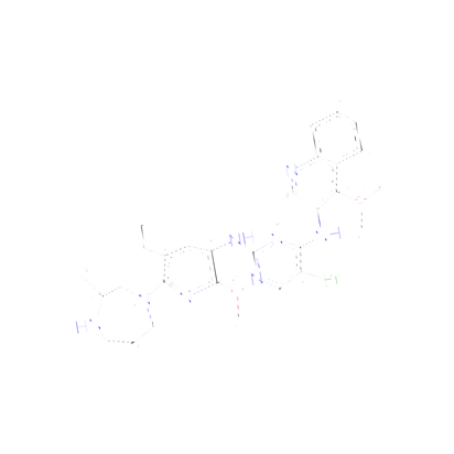 CCc1cc(Nc2ncc(Br)c(Nc3cnc4ccccc4c3P(C)C)n2)c(OC)nc1N1CCCNC(C)C1